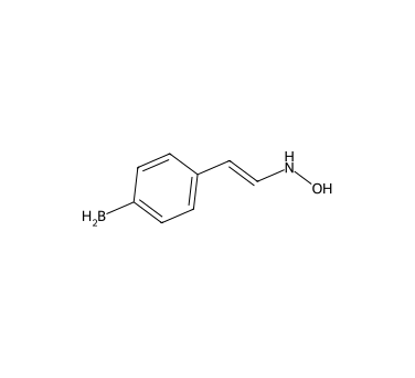 Bc1ccc(/C=C/NO)cc1